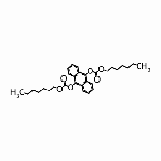 CCCCCCCOC(=O)Oc1c2ccccc2c(OC(=O)OCCCCCCC)c2ccccc12